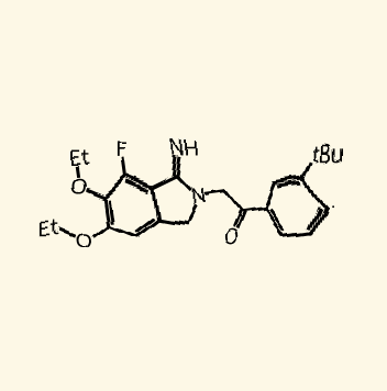 CCOc1cc2c(c(F)c1OCC)C(=N)N(CC(=O)c1cc[c]c(C(C)(C)C)c1)C2